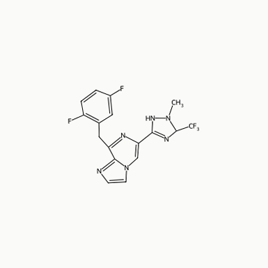 CN1NC(c2cn3ccnc3c(Cc3cc(F)ccc3F)n2)=NC1C(F)(F)F